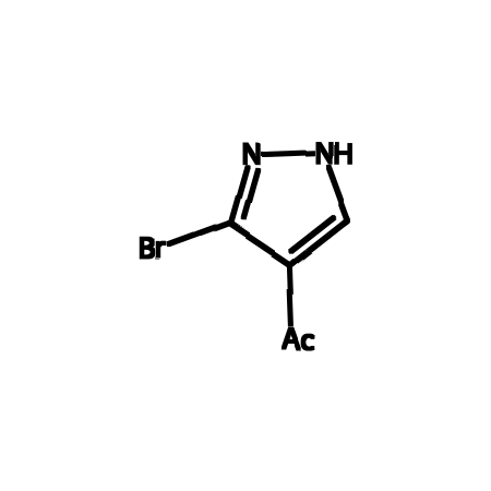 CC(=O)c1c[nH]nc1Br